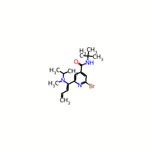 C=C/C=C(/c1cc(C(=O)NC(C)(C)C)cc(Br)n1)N(C)C(C)C